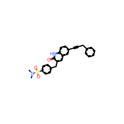 CN(C)S(=O)(=O)c1ccc(Cc2cc3cc(C#CCc4ccccc4)ccc3[nH]c2=O)cc1